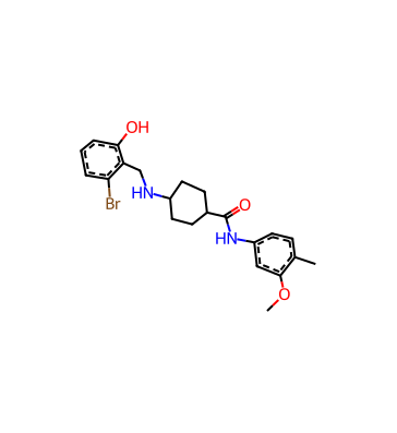 COc1cc(NC(=O)C2CCC(NCc3c(O)cccc3Br)CC2)ccc1C